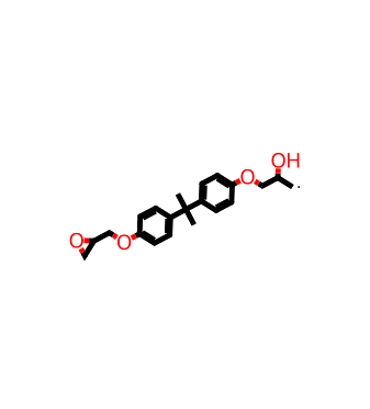 [CH2]C(O)COc1ccc(C(C)(C)c2ccc(OCC3CO3)cc2)cc1